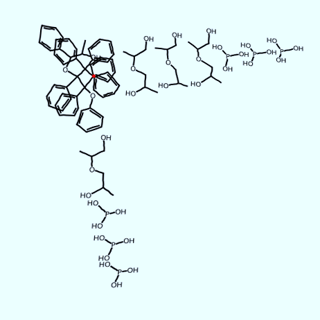 CC(O)C(OC(c1ccccc1)(C(Oc1ccccc1)(c1ccccc1)c1ccccc1)C(c1ccccc1)(c1ccccc1)c1ccccc1)c1ccccc1.CC(O)COC(C)CO.CC(O)COC(C)CO.CC(O)COC(C)CO.CC(O)COC(C)CO.OP(O)O.OP(O)O.OP(O)O.OP(O)O.OP(O)O.OP(O)O